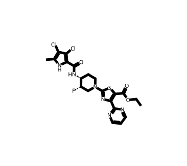 CCOC(=O)c1sc(N2CC[C@@H](NC(=O)c3[nH]c(C)c(Cl)c3Cl)[C@@H](F)C2)nc1-c1ncccn1